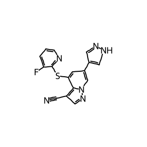 N#Cc1cnn2cc(-c3cn[nH]c3)cc(Sc3ncccc3F)c12